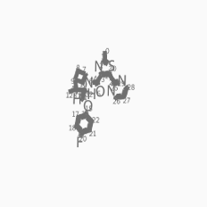 Cc1nc(C(=O)N2C3CC(C3)[C@H](C)[C@H]2COc2ccc(F)cc2)c(-c2ncccn2)s1